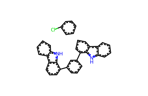 Clc1ccccc1.c1cc(-c2cccc3c2[nH]c2ccccc23)cc(-c2cccc3c2[nH]c2ccccc23)c1